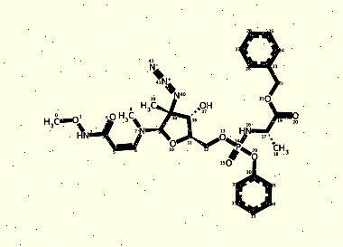 CONC(=O)/C=C\N(C)[C@@H]1O[C@H](COP(=O)(N[C@@H](C)C(=O)OCc2ccccc2)Oc2ccccc2)[C@@H](O)[C@@]1(C)N=[N+]=[N-]